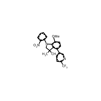 COc1ccc(-c2ccc(C(F)(F)F)nc2)c2c1N(c1ccccc1[N+](=O)[O-])CC2(C)C